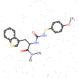 CCN(C#N)C(=O)C(Cc1csc2ccccc12)NC(=O)NSc1ccc(OC(F)(F)F)cc1